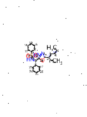 C=C/C(=C\C=C/C)C1=NNC(C(NS(=O)(=O)c2ccccc2)c2ccccc2)O1